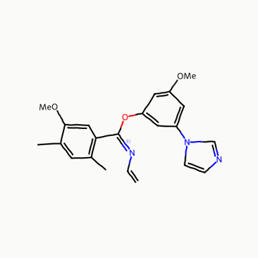 C=C/N=C(/Oc1cc(OC)cc(-n2ccnc2)c1)c1cc(OC)c(C)cc1C